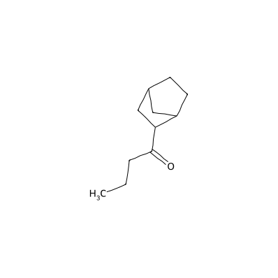 CCCC(=O)C1CC2CCC1C2